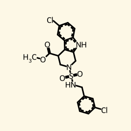 COC(=O)C1CN(S(=O)(=O)NCc2cccc(Cl)c2)Cc2[nH]c3ccc(Cl)cc3c21